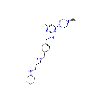 CCCCN1CCN(c2cc(C)nc(NCc3ccc(CNCCCNC4CCCCC4)cc3)n2)CC1